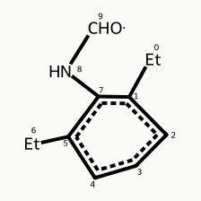 CCc1cccc(CC)c1N[C]=O